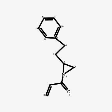 C=CC(=O)N1CC1CCc1ccccc1